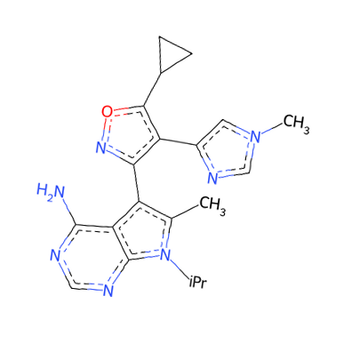 Cc1c(-c2noc(C3CC3)c2-c2cn(C)cn2)c2c(N)ncnc2n1C(C)C